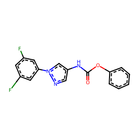 O=C(Nc1cnn(-c2cc(F)cc(F)c2)c1)Oc1ccccc1